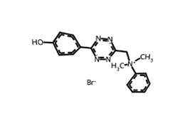 C[N+](C)(Cc1nnc(-c2ccc(O)cc2)nn1)c1ccccc1.[Br-]